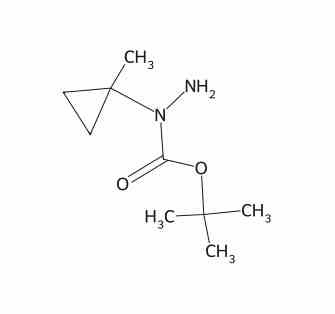 CC(C)(C)OC(=O)N(N)C1(C)CC1